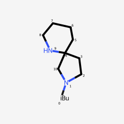 CCC(C)N1CCC2(CCCCN2)C1